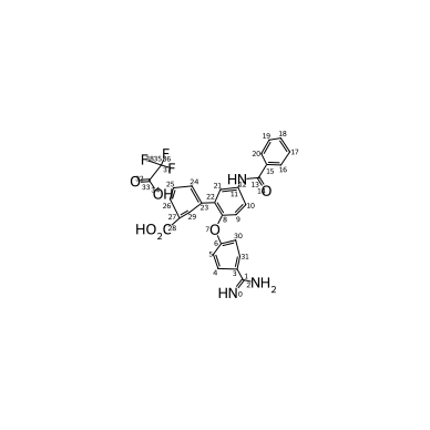 N=C(N)c1ccc(Oc2ccc(NC(=O)c3ccccc3)cc2-c2cccc(C(=O)O)c2)cc1.O=C(O)C(F)(F)F